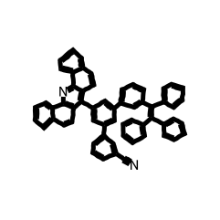 N#Cc1cccc(-c2cc(-c3cccc(C(=C(c4ccccc4)c4ccccc4)c4ccccc4)c3)cc(-c3c4ccc5ccccc5c4nc4c3ccc3ccccc34)c2)c1